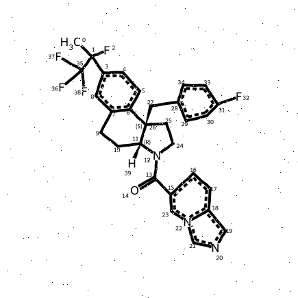 CC(F)(c1ccc2c(c1)CC[C@H]1N(C(=O)c3ccc4cncn4c3)CC[C@@]21Cc1ccc(F)cc1)C(F)(F)F